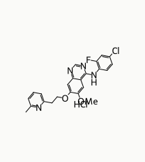 COc1cc2c(Nc3ccc(Cl)cc3F)ncnc2cc1OCCc1cccc(C)n1.Cl